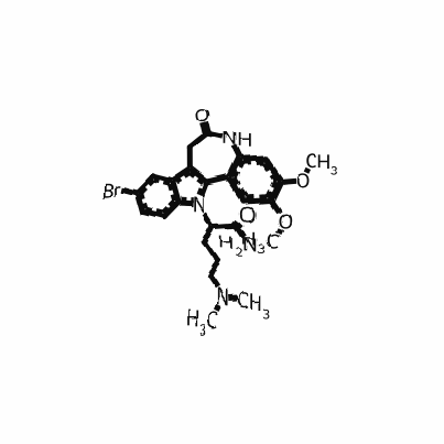 COc1cc2c(cc1OC)-c1c(c3cc(Br)ccc3n1C(CCCN(C)C)C(N)=O)CC(=O)N2